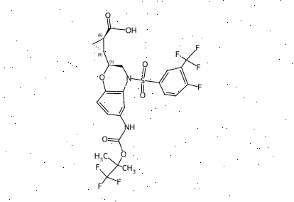 CC(C)(OC(=O)Nc1ccc2c(c1)N(S(=O)(=O)c1ccc(F)c(C(F)(F)F)c1)C[C@H]([C@@H]1C[C@H]1C(=O)O)O2)C(F)(F)F